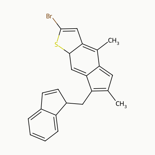 CC1=C(CC2C=Cc3ccccc32)C2=CC3SC(Br)=CC3=C(C)C2=C1